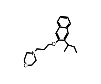 CCC(C)c1cc2ccccc2cc1OCCCN1CCOCC1